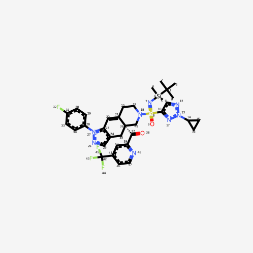 CC(C)(C)[Si](C)(C)N=S(=O)(c1cnn(C2CC2)n1)N1CCC2=Cc3c(cnn3-c3ccc(F)cc3)C[C@]2(C(=O)c2cc(C(F)(F)F)ccn2)C1